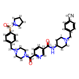 N#Cc1ccc(CN2CCC(NC(=O)c3ccc(C(=O)N4CCN(Cc5ccc([S+]([O-])N6CCCC6)cc5)CC4)nc3)CC2)cc1